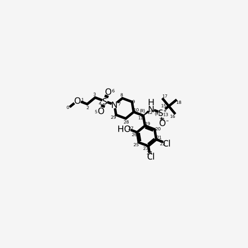 COCCS(=O)(=O)N1CCC([C@@H](N[S@@+]([O-])C(C)(C)C)c2cc(Cl)c(Cl)cc2O)CC1